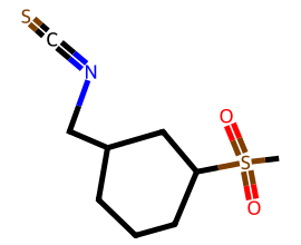 CS(=O)(=O)C1CCCC(CN=C=S)C1